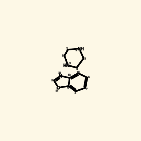 C1CNCCN1.c1ccc2ocnc2c1